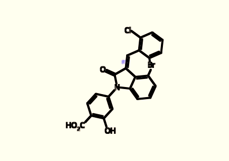 Cc1cccc2c1/C(=C\c1c(Cl)cccc1Br)C(=O)N2c1ccc(C(=O)O)c(O)c1